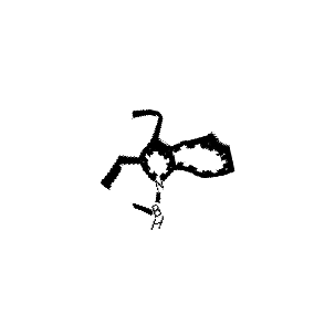 C=Cc1c(C=C)n(BC)c2ccccc12